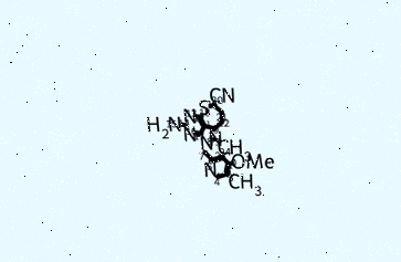 COc1c(C)cnc(Cn2nc3c4c(nc(N)nc42)SC(C#N)CC3)c1C